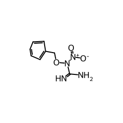 N=C(N)N(OCc1ccccc1)[N+](=O)[O-]